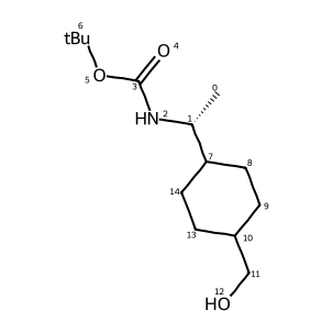 C[C@@H](NC(=O)OC(C)(C)C)C1CCC(CO)CC1